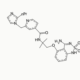 CCCc1nccn1Cc1cc(C(=O)NC(C)(C)COc2cccc3c2C(N)=NS(=O)(=O)N3)ccn1